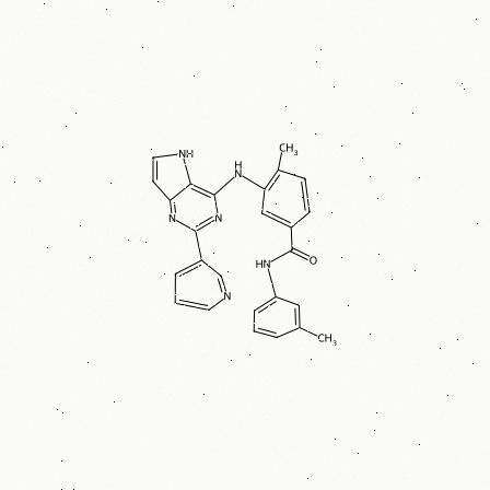 Cc1cccc(NC(=O)c2ccc(C)c(Nc3nc(-c4cccnc4)nc4cc[nH]c34)c2)c1